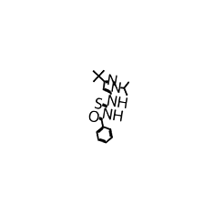 CC(C)n1nc(C(C)(C)C)cc1NC(=S)NC(=O)c1ccccc1